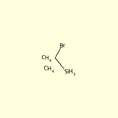 C.C.[SiH3]CBr